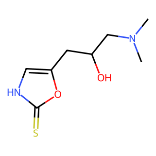 CN(C)CC(O)Cc1c[nH]c(=S)o1